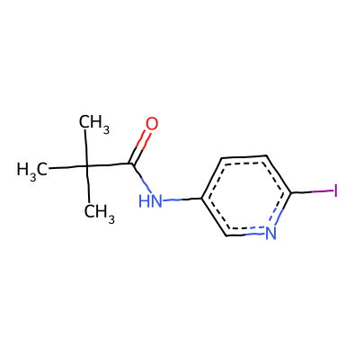 CC(C)(C)C(=O)Nc1ccc(I)nc1